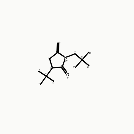 C=C1CC(C(C)(C)C)C(=O)N1CC(C)(C)C